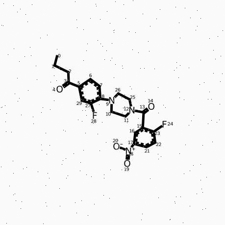 CCCC(=O)c1ccc(N2CCN(C(=O)c3cc([N+](=O)[O-])ccc3F)CC2)c(F)c1